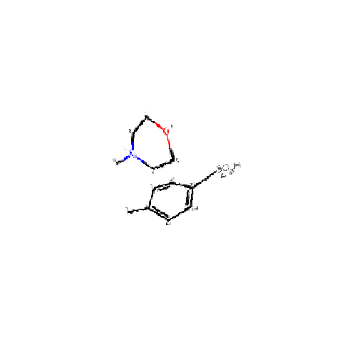 CN1CCOCC1.Cc1ccc(S(=O)(=O)O)cc1